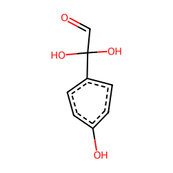 O=CC(O)(O)c1ccc(O)cc1